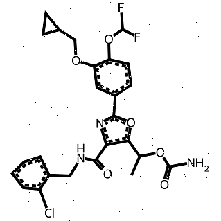 CC(OC(N)=O)c1oc(-c2ccc(OC(F)F)c(OCC3CC3)c2)nc1C(=O)NCc1ccccc1Cl